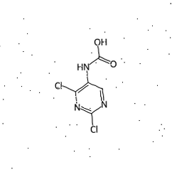 O=C(O)Nc1cnc(Cl)nc1Cl